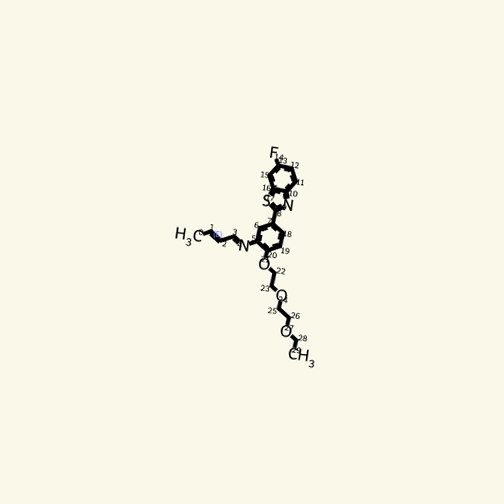 C/C=C/C=Nc1cc(-c2nc3ccc(F)cc3s2)ccc1OCCOCCOCC